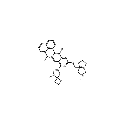 CC(C)c1cccc2cccc(-c3ncc4c(NCC5(N(C)C)CCC5)nc(OC[C@@]56CCCN5C[C@H](C)C6)nc4c3F)c12